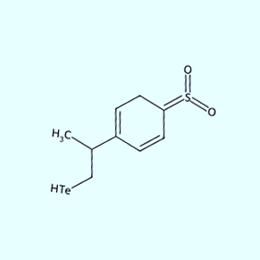 CC(C[TeH])C1=CCC(=S(=O)=O)C=C1